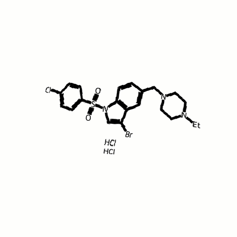 CCN1CCN(Cc2ccc3c(c2)c(Br)cn3S(=O)(=O)c2ccc(Cl)cc2)CC1.Cl.Cl